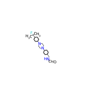 CC(C)(F)c1ccc(N2CCN(c3ccc(CNC=O)cc3)CC2)cc1